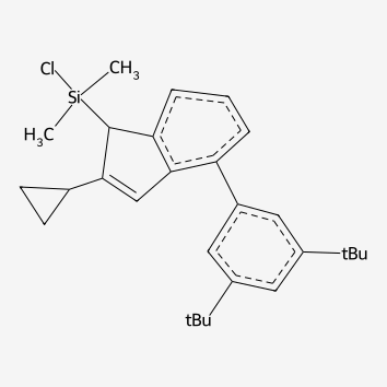 CC(C)(C)c1cc(-c2cccc3c2C=C(C2CC2)C3[Si](C)(C)Cl)cc(C(C)(C)C)c1